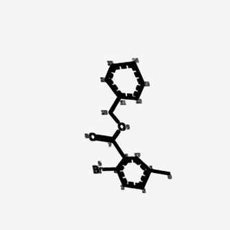 Cc1ccc(Br)c(C(=O)OCc2ccccc2)c1